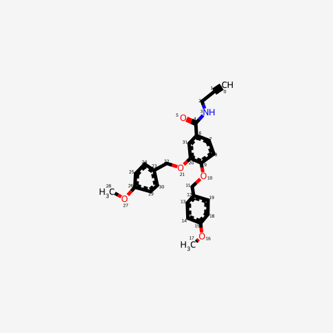 C#CCNC(=O)c1ccc(OCc2ccc(OC)cc2)c(OCc2ccc(OC)cc2)c1